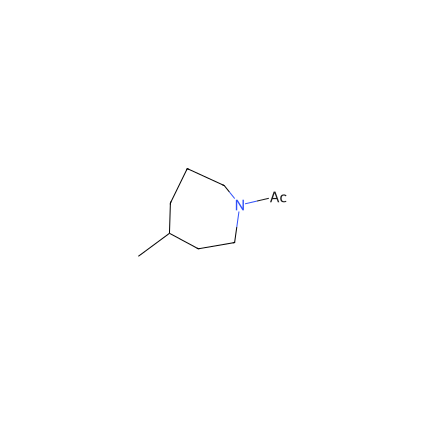 CC(=O)N1CCCC(C)CC1